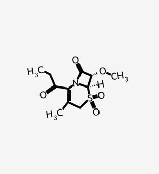 CCC(=O)C1=C(C)CS(=O)(=O)[C@@H]2[C@@H](OC)C(=O)N12